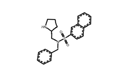 O=S(=O)(c1ccc2ccccc2c1)N(Cc1ccccc1)CC1CCCN1